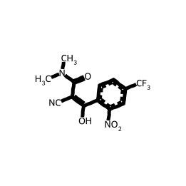 CN(C)C(=O)C(C#N)=C(O)c1ccc(C(F)(F)F)cc1[N+](=O)[O-]